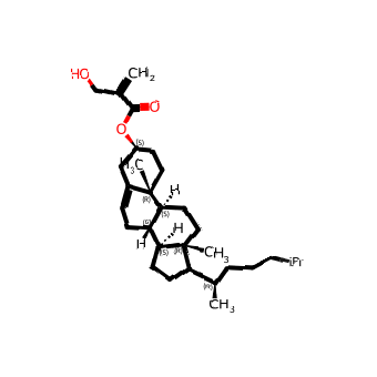 C=C(CO)C(=O)O[C@H]1CC[C@@]2(C)C(=CC[C@@H]3[C@@H]2CC[C@]2(C)C([C@H](C)CCCC(C)C)CC[C@@H]32)C1